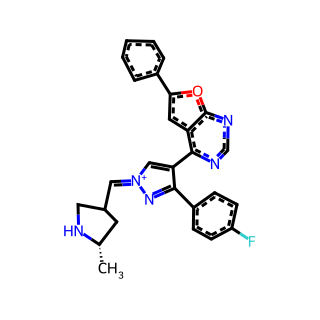 C[C@H]1CC(/C=[N+]2/C=C(c3ncnc4oc(-c5ccccc5)cc34)C(c3ccc(F)cc3)=N2)CN1